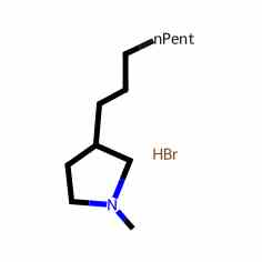 Br.CCCCCCCCC1CCN(C)C1